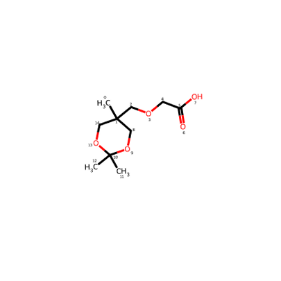 CC1(COCC(=O)O)COC(C)(C)OC1